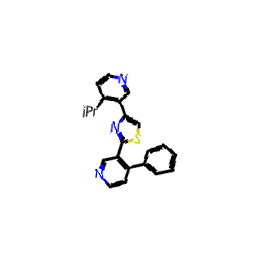 CC(C)c1ccncc1-c1csc(-c2cnccc2-c2ccccc2)n1